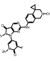 CC(C)n1cc(-n2c3nc(Nc4ccc5c(c4)CN(C)CC54CC4)ncc3c(=O)n2C(C)C)cc(F)c1=O